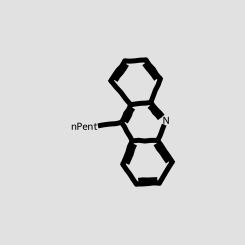 CCCCCc1c2ccccc2nc2ccccc12